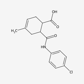 CC1=CCC(C(=O)O)C(C(=O)Nc2ccc(Cl)cc2)C1